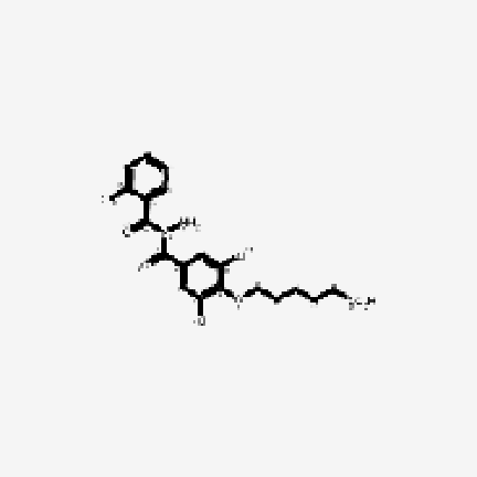 NN(C(=O)c1cc(Cl)c(OCCCCCC(=O)O)c(Cl)c1)C(=O)c1ccccc1Cl